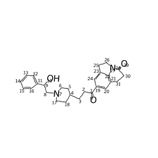 O=C(CCC1CCN(CC(O)c2ccccc2)CC1)c1cc2c3c(c1)CCN3C(=O)CC2